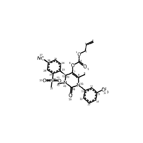 C=CCOC(=O)OC1=C(C)N(c2cccc(C(F)(F)F)c2)C(=O)N(C)[C@H]1c1ccc(C#N)cc1S(C)(=O)=O